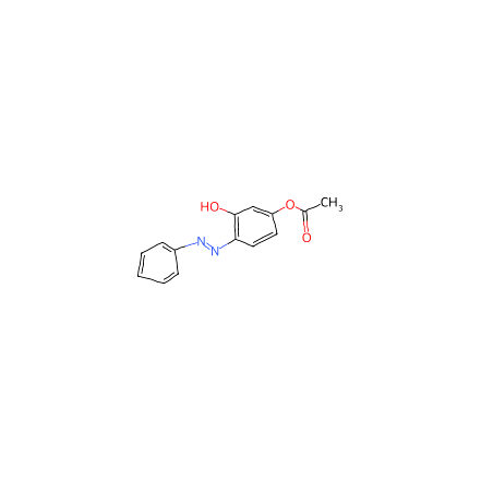 CC(=O)Oc1ccc(/N=N/c2ccccc2)c(O)c1